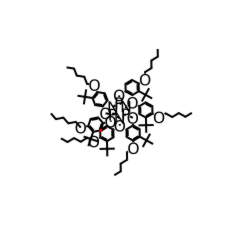 CCCCCOc1ccc(ON2P(Oc3ccc(OCCCCC)c(C(C)(C)C)c3)N=P(Oc3ccc(OCCCCC)c(C(C)(C)C)c3)(Oc3ccc(OCCCCC)c(C(C)(C)C)c3)N(Oc3ccc(OCCCCC)c(C(C)(C)C)c3)P2Oc2ccc(OCCCCC)c(C(C)(C)C)c2)cc1C(C)(C)C